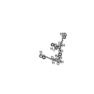 COC1C(C(=O)NC(CCNC(=O)CCCCc2ccc3c(n2)NCCC3)C(=O)O)=Nc2ccc(OC(=O)C(CCNC(=O)CCCCc3ccc4c(n3)NCCC4)NC(=O)C3=Nc4ccccc4C3N)cc21